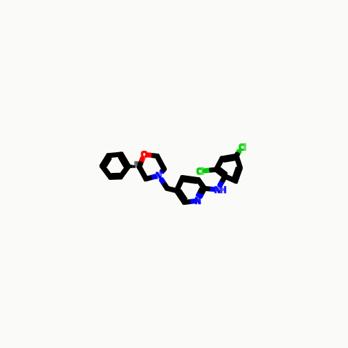 Clc1ccc(Nc2ccc(CN3CCO[C@@H](c4ccccc4)C3)cn2)c(Cl)c1